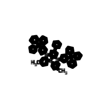 Cc1ccc2c(c1)N(c1ccc(C(c3ccccc3)(c3ccccc3)c3ccccc3)cc1)c1cc(-c3ccccc3)cc3c1B2c1ccc(C)cc1N3c1ccc(C(c2ccccc2)(c2ccccc2)c2ccccc2)cc1